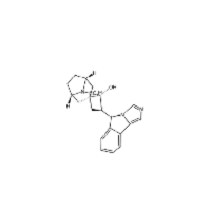 O=C(O)N1[C@@H]2CC[C@H]1C[C@]1(C[C@H]([C@@H]3c4ccccc4-c4cncn43)[C@H]1O)C2